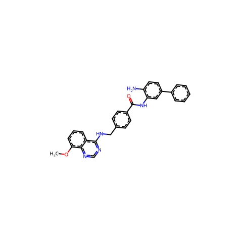 COc1cccc2c(NCc3ccc(C(=O)Nc4cc(-c5ccccc5)ccc4N)cc3)ncnc12